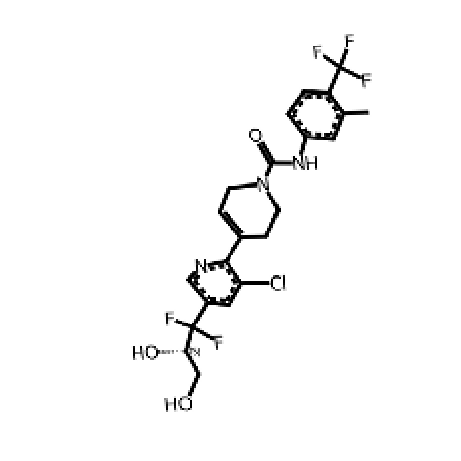 Cc1cc(NC(=O)N2CC=C(c3ncc(C(F)(F)[C@@H](O)CO)cc3Cl)CC2)ccc1C(F)(F)F